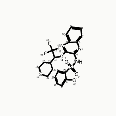 O=S(=O)(Nc1nc2ccccc2nc1OC(C1CCSCC1)C(F)(F)F)c1ccccc1Cl